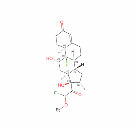 CCOC(Cl)C(=O)[C@@]1(O)[C@@H](C)C[C@H]2[C@@H]3CCC4=CC(=O)CC[C@]4(C)[C@@]3(F)[C@@H](O)C[C@@]21C